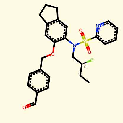 CC[C@H](F)CN(c1cc2c(cc1OCc1ccc(C=O)cc1)CCC2)S(=O)(=O)c1ccccn1